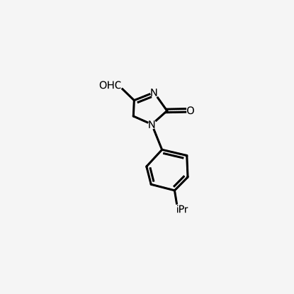 CC(C)c1ccc(N2CC(C=O)=NC2=O)cc1